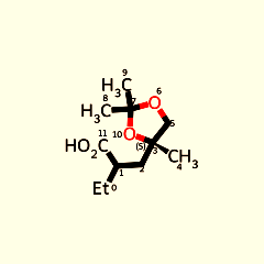 CCC(C[C@@]1(C)COC(C)(C)O1)C(=O)O